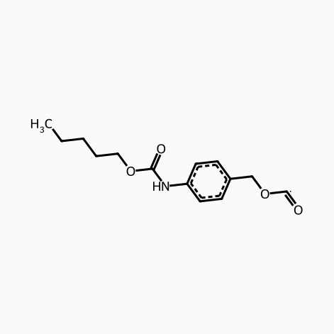 CCCCCOC(=O)Nc1ccc(CO[C]=O)cc1